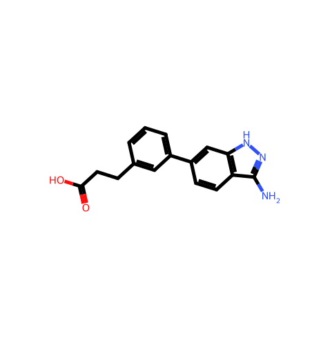 Nc1n[nH]c2cc(-c3cccc(CCC(=O)O)c3)ccc12